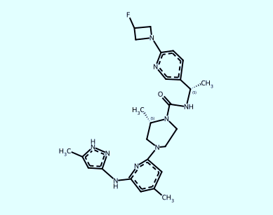 Cc1cc(Nc2cc(C)[nH]n2)nc(N2CCN(C(=O)N[C@@H](C)c3ccc(N4CC(F)C4)nc3)[C@@H](C)C2)c1